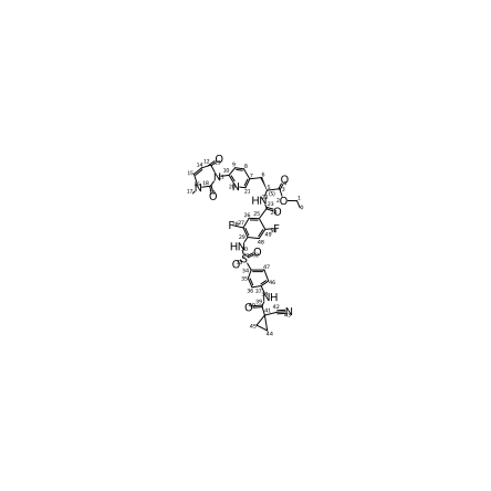 CCOC(=O)[C@H](Cc1ccc(-n2c(=O)ccn(C)c2=O)nc1)NC(=O)c1cc(F)c(NS(=O)(=O)c2ccc(NC(=O)C3(C#N)CC3)cc2)cc1F